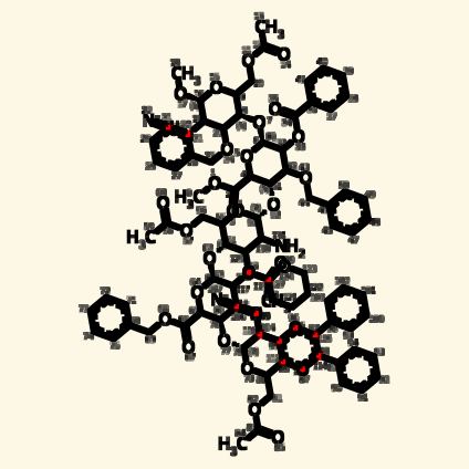 COC(=O)C1O[C@@H](O[C@@H]2C(COC(C)=O)O[C@H](OC)C(N=[N+]=[N-])C2OCc2ccccc2)C(OC(=O)c2ccccc2)C(OCc2ccccc2)[C@@H]1O[C@H]1OC(COC(C)=O)[C@@H](O[C@@H]2OC(C(=O)OCc3ccccc3)[C@H](O[C@H]3OC(COC(C)=O)[C@@H](OCc4ccccc4)C(OCc4ccccc4)C3N=[N+]=[N-])C(OCc3ccccc3)C2OC2CCCCO2)C(OC(C)=O)C1N